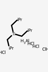 CC(C)[CH2][Ti]([CH2]C(C)C)[CH2]C(C)C.Cl.Cl.Cl.Cl.[AlH3]